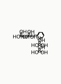 OB(O)O.OB(O)O.OB(O)O.OB(O)O.[Li][c]1ccccn1